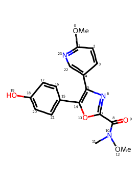 COc1ccc(-c2nc(C(=O)N(C)OC)oc2-c2ccc(O)cc2)cn1